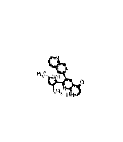 Cc1cc(C)c(-c2nc3[nH]ccc(=O)c3cc2-c2ccc3ncccc3c2)[nH]1